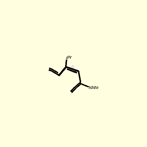 C=C/C(=C\C(=C)NC)C(C)C